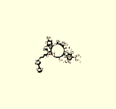 CC[C@H]1OC(=O)C(C)(F)C(=O)[C@@H](C)[C@@H](O[C@@H]2O[C@H](C)CC(N(C)C)C2O)[C@](C)(OC)C[C@@H](C)CN[C@H](C)[C@H]2N(CCCCn3cc(-c4nccs4)nn3)C(=O)O[C@]12n1ccc(N)nc1=O